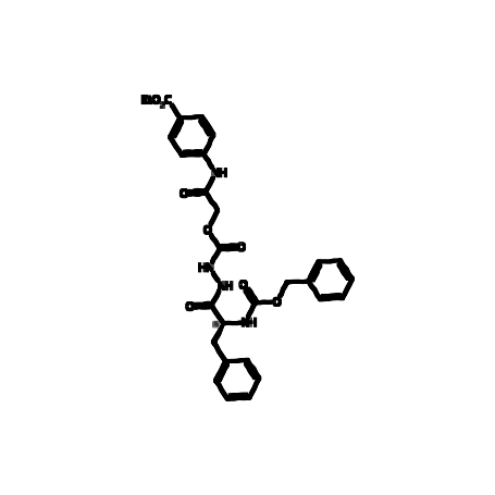 CCOC(=O)c1ccc(NC(=O)COC(=O)NNC(=O)[C@H](Cc2ccccc2)NC(=O)OCc2ccccc2)cc1